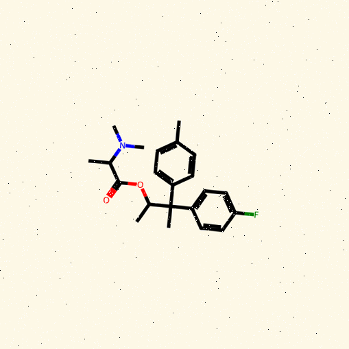 Cc1ccc(C(C)(c2ccc(F)cc2)C(C)OC(=O)C(C)N(C)C)cc1